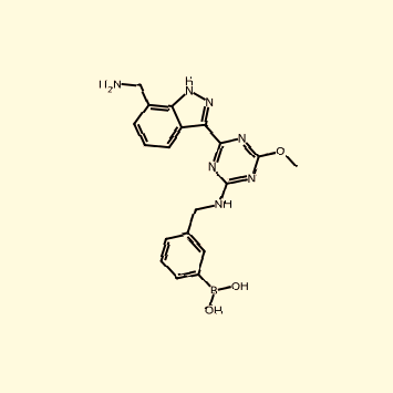 COc1nc(NCc2cccc(B(O)O)c2)nc(-c2n[nH]c3c(CN)cccc23)n1